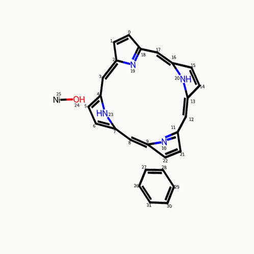 C1=Cc2cc3ccc(cc4nc(cc5ccc(cc1n2)[nH]5)C=C4)[nH]3.[OH][Ni].c1ccccc1